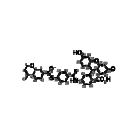 CC1=CCOc2cc([S+]([O-])Sc3ccc(C(=S)Nc4ccc(C(=O)O)c(-c5c6ccc(=O)cc-6oc6cc(O)ccc56)c4)cc3)ccc21